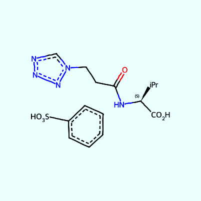 CC(C)[C@H](NC(=O)CCn1cnnn1)C(=O)O.O=S(=O)(O)c1ccccc1